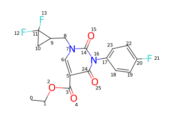 CCOC(=O)c1cn(CC2CC2(F)F)c(=O)n(-c2ccc(F)cc2)c1=O